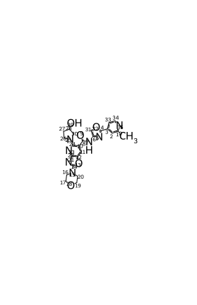 Cc1cc(-c2nc(NC(=O)c3cc4oc(N5CCOCC5)nc4nc3N3CCC(O)C3)co2)ccn1